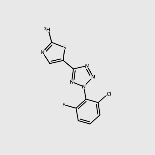 [2H]c1ncc(-c2nnn(-c3c(F)cccc3Cl)n2)s1